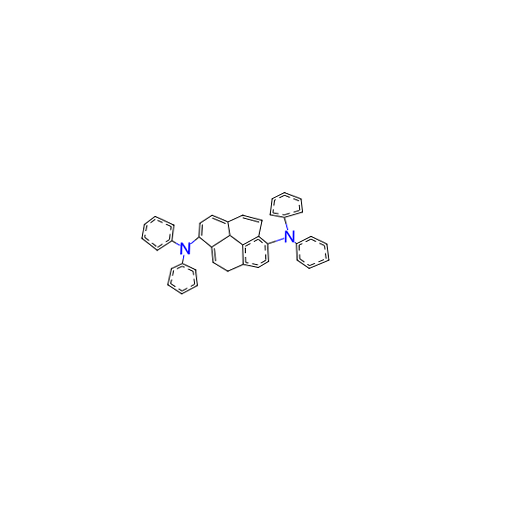 C1=Cc2c(N(c3ccccc3)c3ccccc3)ccc3c2C2C1=CC=C(N(c1ccccc1)c1ccccc1)C2=CC3